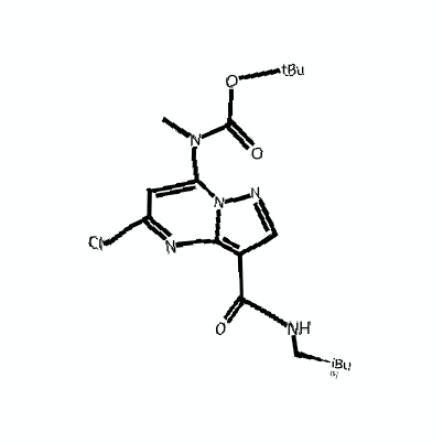 CC[C@H](C)CNC(=O)c1cnn2c(N(C)C(=O)OC(C)(C)C)cc(Cl)nc12